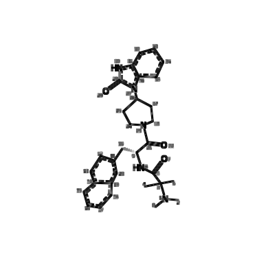 CN(C)C(C)(C)C(=O)N[C@H](Cc1ccc2ccccc2c1)C(=O)N1CCC(n2c(=O)[nH]c3ccccc32)CC1